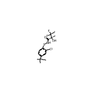 CC(C)(C)c1ccc(SNC(=O)[C@@](C)(O)C(F)(F)F)c(Cl)c1